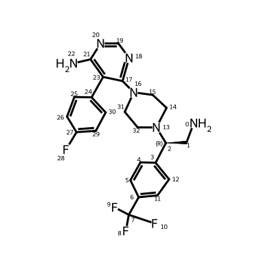 NC[C@@H](c1ccc(C(F)(F)F)cc1)N1CCN(c2ncnc(N)c2-c2ccc(F)cc2)CC1